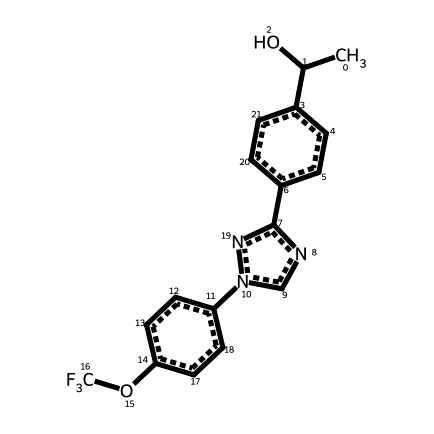 CC(O)c1ccc(-c2ncn(-c3ccc(OC(F)(F)F)cc3)n2)cc1